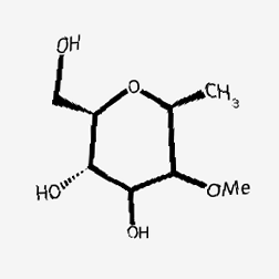 COC1C(O)[C@H](O)[C@@H](CO)O[C@H]1C